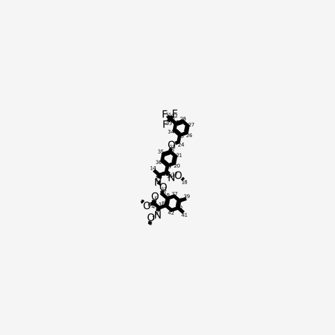 CON=C(C(=O)OC)C1=C(CON=C(C)C(=NOC)c2ccc(OCc3cccc(C(F)(F)F)c3)cc2)CC(C)=C(C)C1